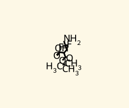 CC(C)(C)OC(=O)C(CC(F)(F)CN)C(=O)O